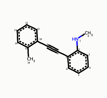 CNc1ccccc1C#Cc1ccccc1C